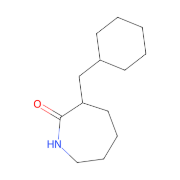 O=C1NCCCCC1CC1CCCCC1